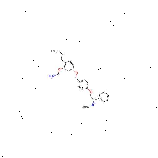 CCOC(=O)CCc1ccc(OCc2ccc(OC/C(=N\OC)c3ccccc3)cc2)cc1OCN